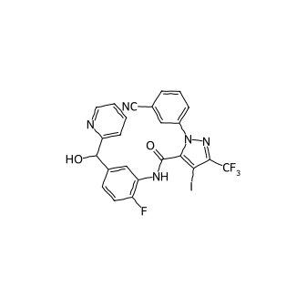 N#Cc1cccc(-n2nc(C(F)(F)F)c(I)c2C(=O)Nc2cc(C(O)c3ccccn3)ccc2F)c1